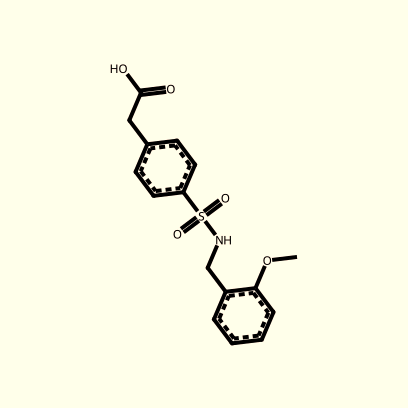 COc1ccccc1CNS(=O)(=O)c1ccc(CC(=O)O)cc1